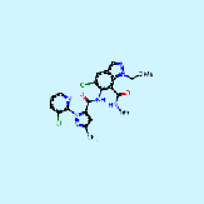 CCCNC(=O)c1c(NC(=O)c2cc(C(F)(F)F)nn2-c2ncccc2Cl)c(Cl)cc2cnn(COC)c12